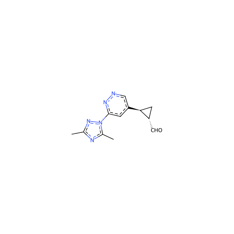 Cc1nc(C)n(-c2cc([C@H]3C[C@@H]3C=O)cnn2)n1